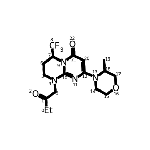 CCC(=O)CN1CCC(C(F)(F)F)n2c1nc(N1CCOCC1C)cc2=O